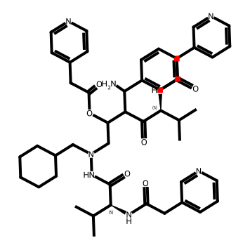 CC(C)[C@H](NC(=O)Cc1cccnc1)C(=O)NN(CC1CCCCC1)CC(OC(=O)Cc1ccncc1)C(C(=O)[C@@H](NC(=O)Cc1cccnc1)C(C)C)C(N)c1ccccc1